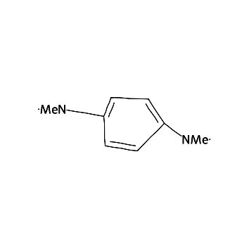 C[N]c1ccc([N]C)cc1